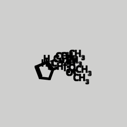 C[O][Hf]([CH3])([CH3])([CH3])([CH3])([CH3])([O]C)([O]C)[C]1=CC=CC1